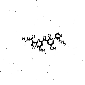 Cc1cc(Nc2cc(N)n3ncc(C(N)=O)c3n2)c(=O)n(-c2ccnn2C)c1